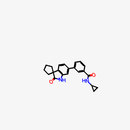 O=C(NC1CC1)c1cccc(-c2ccc3c(c2)NC(=O)C32CCCC2)c1